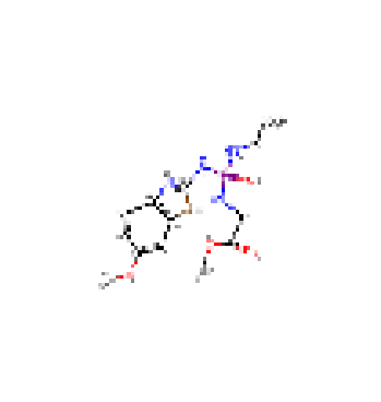 CC(C)OC(=O)CNP(=O)(NCC(=O)O)Nc1nc2ccc(OC(F)(F)F)cc2s1